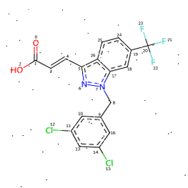 O=C(O)/C=C/c1nn(Cc2cc(Cl)cc(Cl)c2)c2cc(C(F)(F)F)ccc12